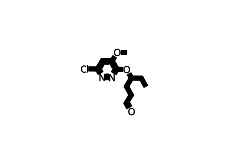 CCC(CCC=O)Oc1nnc(Cl)cc1OC